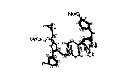 CCn1nc(Cc2ccc(OC)cc2)cc1C1CCN(CC2CC([C@H](CC3CC3)C(=O)O)CC2c2cccc(F)c2)CC1